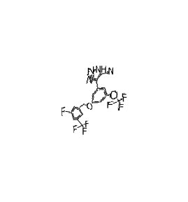 N#Cc1[nH]nnc1-c1cc(OCc2cc(F)cc(C(F)(F)F)c2)cc(OC(F)(F)F)c1